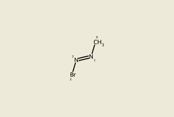 CN=NBr